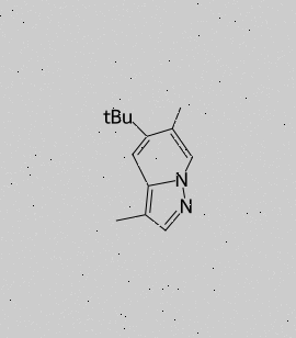 Cc1cn2ncc(C)c2cc1C(C)(C)C